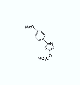 COc1ccc(-c2ncc(OC(=O)O)s2)cc1